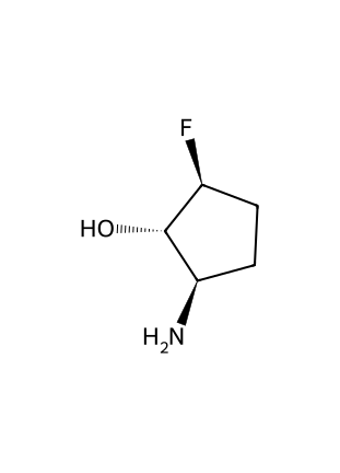 N[C@@H]1CC[C@H](F)[C@H]1O